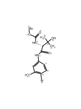 Cc1cc(NC(=O)[C@H](NC(=O)OC(C)(C)C)C(C)(C)O)ccc1Br